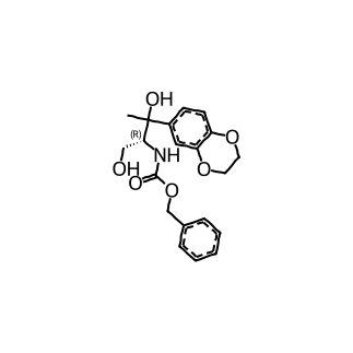 CC(O)(c1ccc2c(c1)OCCO2)[C@@H](CO)NC(=O)OCc1ccccc1